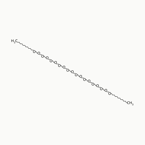 CCCCCCCCCCCCCOCCOCCOCCOCCOCCOCCOCCOCCOCCOCCOCCOCCOCCOCCOCCOCCOCCOCCOCCCCCCCCCCCCC